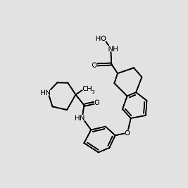 CC1(C(=O)Nc2cccc(Oc3ccc4c(c3)CC(C(=O)NO)CC4)c2)CCNCC1